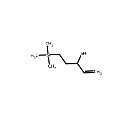 C=CC(S)CC[Si](C)(C)C